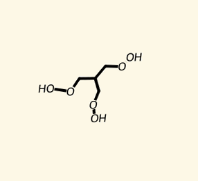 OOCC(COO)COO